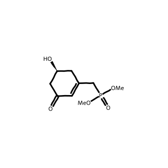 COP(=O)(CC1=CC(=O)C[C@@H](O)C1)OC